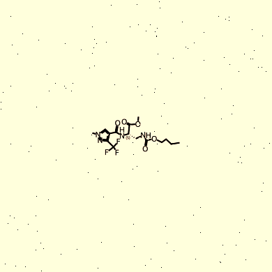 CCCCOC(=O)NC[C@H](NC(=O)c1cn(C)nc1C(F)(F)F)C(=O)OC